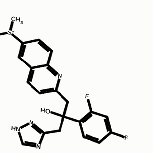 C[S+]([O-])c1ccc2nc(CC(O)(Cc3nc[nH]n3)c3ccc(F)cc3F)ccc2c1